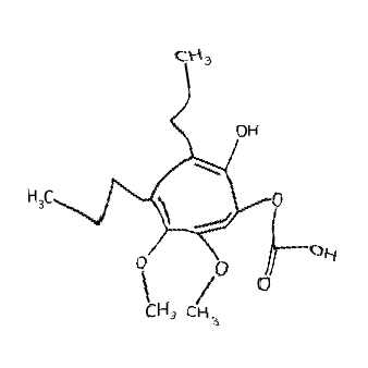 CCCc1c(O)c(OC(=O)O)c(OC)c(OC)c1CCC